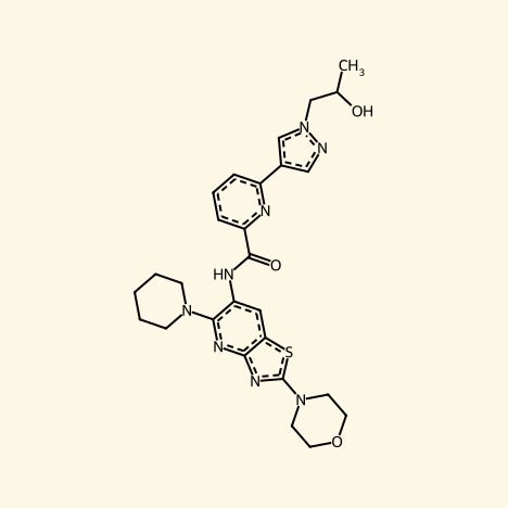 CC(O)Cn1cc(-c2cccc(C(=O)Nc3cc4sc(N5CCOCC5)nc4nc3N3CCCCC3)n2)cn1